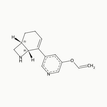 C=COc1cncc(C2=CCC[C@H]3CN[C@@H]23)c1